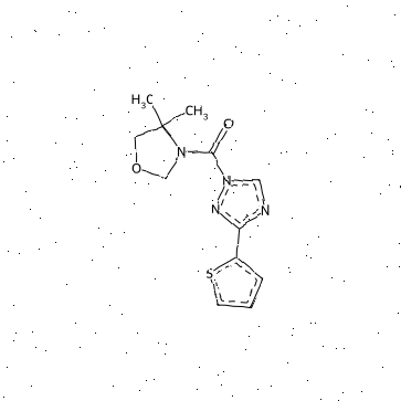 CC1(C)COCN1C(=O)n1cnc(-c2cccs2)n1